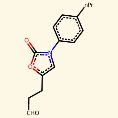 CCCc1ccc(-n2cc(CCC=O)oc2=O)cc1